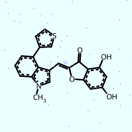 Cn1cc(/C=C2\Oc3cc(O)cc(O)c3C2=O)c2c(-c3ccsc3)cccc21